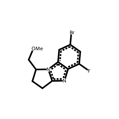 COCC1CCc2nc3c(F)cc(Br)cc3n21